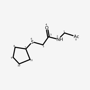 CC(=O)CNC(=O)CSC1CCCC1